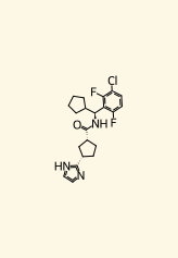 O=C(N[C@H](c1c(F)ccc(Cl)c1F)C1CCCC1)[C@@H]1CC[C@H](c2ncc[nH]2)C1